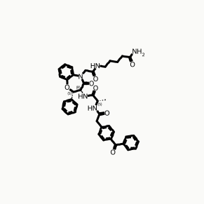 C[C@H](NC(=O)Cc1ccc(C(=O)c2ccccc2)cc1)C(=O)N[C@H]1C(=O)N(CC(=O)NCCCCC(N)=O)c2ccccc2O[C@H]1c1ccccc1